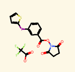 O=C(ON1C(=O)CCC1=O)c1cccc([I+]c2cccs2)c1.O=C([O-])C(F)(F)F